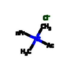 CCC[N+](C)(C)C(C)=O.[Cl-]